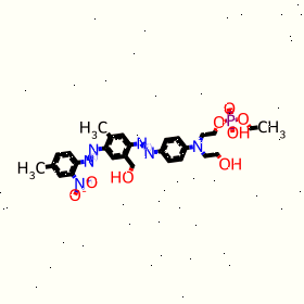 CCOP(=O)(O)OCCN(CCO)c1ccc(/N=N/c2cc(C)c(/N=N/c3ccc(C)cc3[N+](=O)[O-])cc2CO)cc1